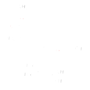 CCCOc1cc2c(cc1C1(CC=CC(C)=CC(=O)OCC)CC1)C(C)(C)CCC2(C)C